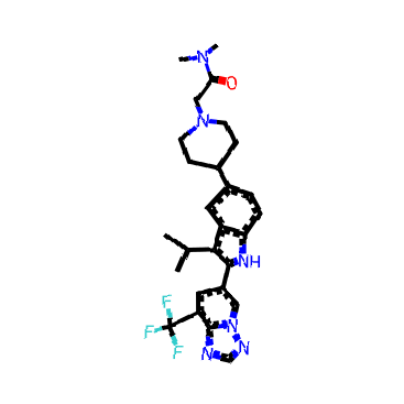 CC(C)c1c(-c2cc(C(F)(F)F)c3ncnn3c2)[nH]c2ccc(C3CCN(CC(=O)N(C)C)CC3)cc12